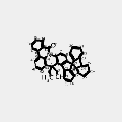 CCC1(CC)c2c(ccc3c2-c2ccccc2C32c3ccccc3-c3ccccc32)-n2c(=O)c3ccccc3c3cccc1c32